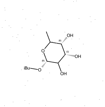 CCC(C)O[C@@H]1OC(C)[C@H](O)[C@H](O)C1O